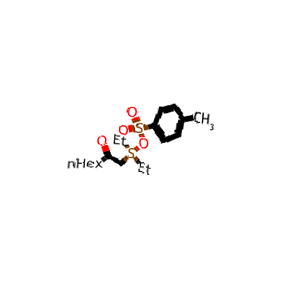 CCCCCCC(=O)CS(CC)(CC)OS(=O)(=O)c1ccc(C)cc1